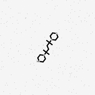 CC(C)(CCC(C)(C)N1CCOCC1)N1CCNCC1